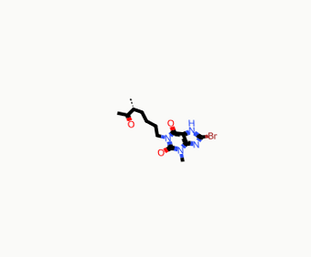 CC(=O)[C@H](C)CCCCn1c(=O)c2[nH]c(Br)nc2n(C)c1=O